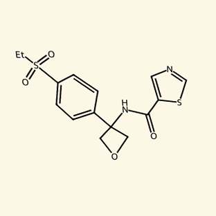 CCS(=O)(=O)c1ccc(C2(NC(=O)c3cncs3)COC2)cc1